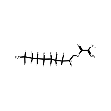 C=C(C)C(=O)OC[C@@H](F)C(F)(F)C(F)(F)C(F)(F)C(F)(F)C(F)(F)C(F)(F)C(F)(F)C(F)(F)F